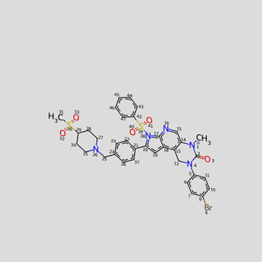 CN1C(=O)N(c2ccc(Br)cc2)Cc2c1cnc1c2cc(-c2ccc(CN3CCC(S(C)(=O)=O)CC3)cc2)n1S(=O)(=O)c1ccccc1